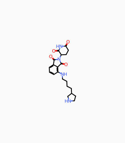 O=C1CCC(N2C(=O)c3cccc(NCCCCC4CCNC4)c3C2=O)C(=O)N1